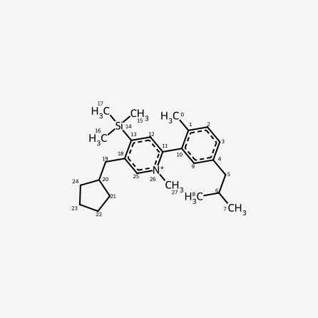 Cc1ccc(CC(C)C)cc1-c1cc([Si](C)(C)C)c(CC2CCCC2)c[n+]1C